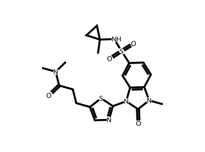 CN(C)C(=O)CCc1cnc(-n2c(=O)n(C)c3ccc(S(=O)(=O)NC4(C)CC4)cc32)s1